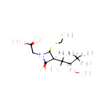 CCSC1C(C(C)(C)[C@@H](O[SiH3])C(C)(C)C)C(=O)N1CC(=O)O